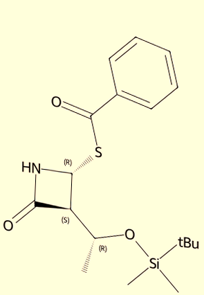 C[C@@H](O[Si](C)(C)C(C)(C)C)[C@H]1C(=O)N[C@@H]1SC(=O)c1ccccc1